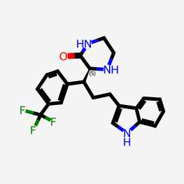 O=C1NCCN[C@H]1C(CCc1c[nH]c2ccccc12)c1cccc(C(F)(F)F)c1